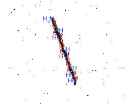 C#CCNC(=O)CCNC(=O)CCC(=O)NCCOCCOCCNC(=O)CCC(=O)NCCOCCOCCNC(=O)CCC(=O)NCCOCCOCCN